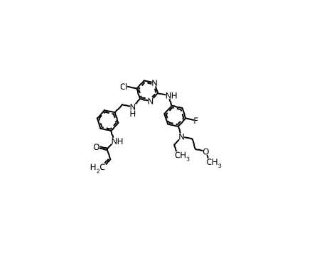 C=CC(=O)Nc1cccc(CNc2nc(Nc3ccc(N(CC)CCOC)c(F)c3)ncc2Cl)c1